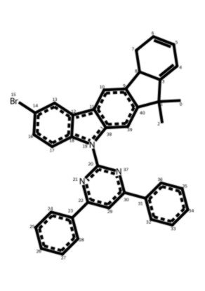 CC1(C)C2=CC=CCC2c2cc3c4cc(Br)ccc4n(-c4nc(-c5ccccc5)cc(-c5ccccc5)n4)c3cc21